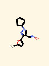 O=[N+]([O-])c1ccc(-c2nn(-c3ccccc3)cc2C=NO)o1